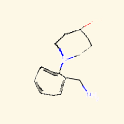 NCc1ccccc1N1CCC(O)CC1